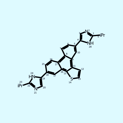 CC(C)c1ncc(-c2ccc3c(c2)c2ccsc2c2cc(-c4cnc(C(C)C)[nH]4)ccc32)[nH]1